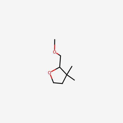 COCC1OCCC1(C)C